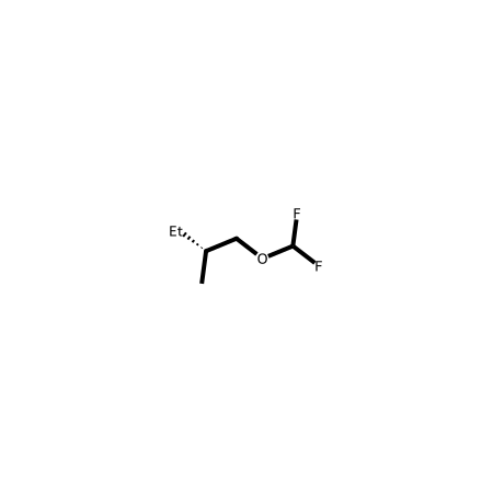 CC[C@@H](C)COC(F)F